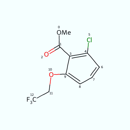 COC(=O)c1c(Cl)cccc1OCC(F)(F)F